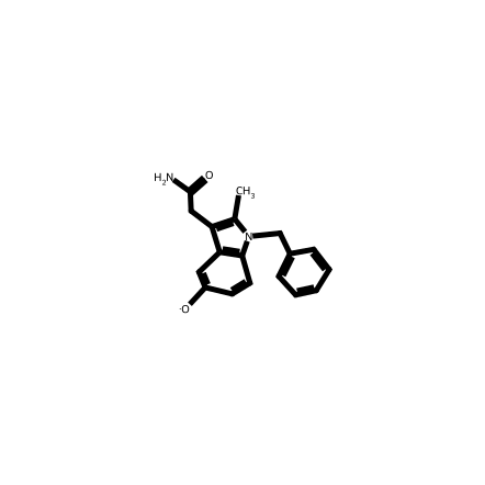 Cc1c(CC(N)=O)c2cc([O])ccc2n1Cc1ccccc1